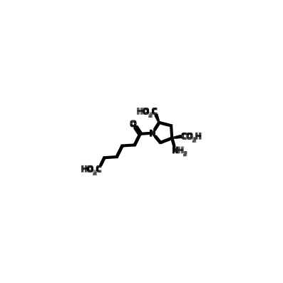 N[C@@]1(C(=O)O)C[C@H](C(=O)O)N(C(=O)CCCCC(=O)O)C1